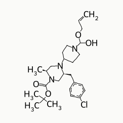 C=CCOC(O)N1CCC(N2C[C@H](C)N(C(=O)OC(C)(C)C)C[C@@H]2Cc2ccc(Cl)cc2)CC1